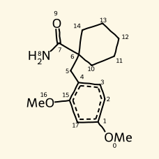 COc1ccc(CC2(C(N)=O)CCCCC2)c(OC)c1